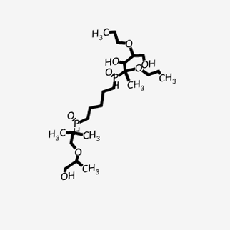 CCCOC(CO)C(O)C(C)(OCCC)[PH](=O)CCCCC[PH](=O)C(C)(C)COC(C)CO